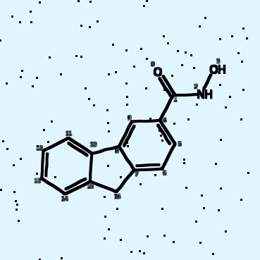 O=C(NO)c1ccc2c(c1)-c1ccccc1C2